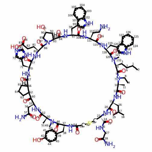 CCCC[C@H]1C(=O)N(CC)[C@@H](C)C(=O)N[C@@H](CC(C)C)C(=O)N[C@H](C(=O)NCC(N)=O)CSCC(=O)N[C@@H](Cc2ccc(O)cc2)C(=O)N(C)[C@@H](C)C(=O)N[C@@H](CC(N)=O)C(=O)C2CCC[C@H]2C(=O)N[C@@H](Cc2cnc[nH]2)C(=O)N[C@@H](CCC(=O)O)C(=O)N2C[C@H](O)C[C@H]2C(=O)N[C@@H](Cc2c[nH]c3ccccc23)C(=O)N[C@@H](CCN)C(=O)N[C@@H](Cc2c[nH]c3ccccc23)C(=O)N1C